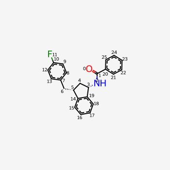 O=C(N[C@H]1C[C@@H](Cc2ccc(F)cc2)c2ccccc21)c1ccccc1